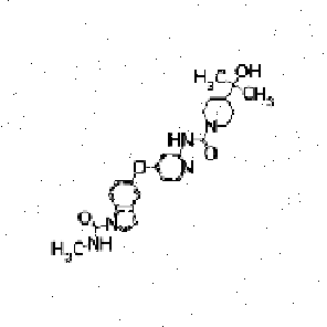 CNC(=O)n1ccc2cc(Oc3ccnc(NC(=O)N4CCC(C(C)(C)O)CC4)c3)ccc21